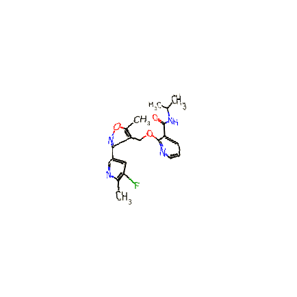 Cc1ncc(-c2noc(C)c2COc2ncccc2C(=O)NC(C)C)cc1F